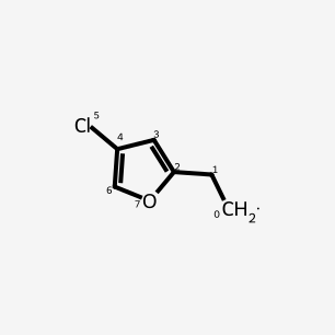 [CH2]Cc1cc(Cl)co1